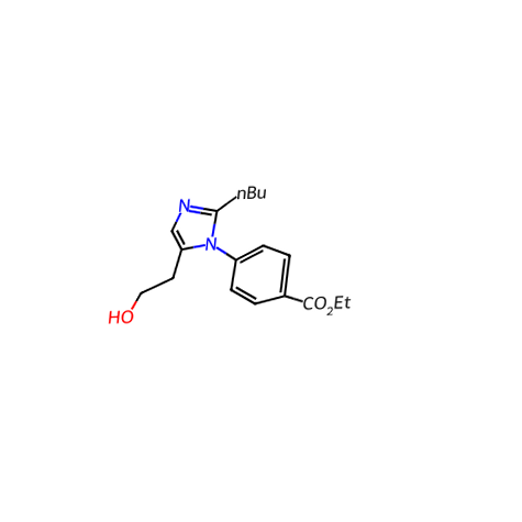 CCCCc1ncc(CCO)n1-c1ccc(C(=O)OCC)cc1